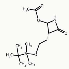 CC(=O)OC1NC(=O)[C@@H]1CCO[Si](C)(C)C(C)(C)C